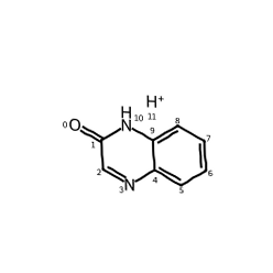 O=c1cnc2ccccc2[nH]1.[H+]